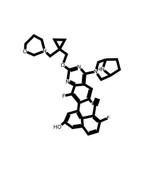 C#Cc1c(F)ccc2cc(O)cc(-c3c(C(C)C)cc4c(N5CC6CCC(C5)N6)nc(OCC5(CN6CCCOC6)CC5)nc4c3F)c12